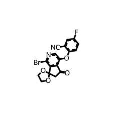 N#Cc1cc(F)ccc1Oc1cnc(Br)c2c1C(=O)CC21OCCO1